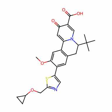 COc1cc2c(cc1-c1cnc(COC3CC3)s1)CC(C(C)(C)C)n1cc(C(=O)O)c(=O)cc1-2